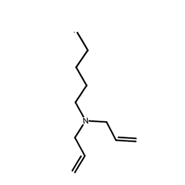 [CH2]CCCCN(CC=C)CC=C